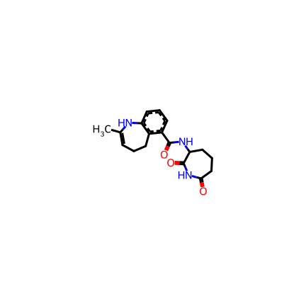 CC1=CCCc2c(cccc2C(=O)NC2CCCC(=O)NC2=O)N1